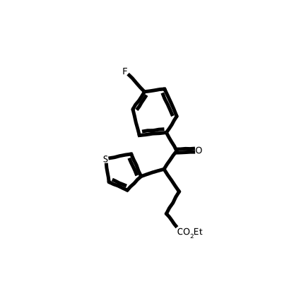 CCOC(=O)CCC(C(=O)c1ccc(F)cc1)c1ccsc1